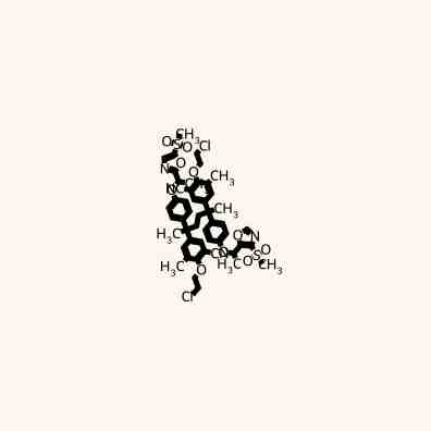 Cc1cc(C(C)(CCC(C)(c2ccc(OC(C)c3ocnc3S(C)(=O)=O)cc2)c2cc(C)c(OCCCl)c(C#N)c2)c2ccc(OC(C)c3ncc(S(C)(=O)=O)o3)cc2)cc(C#N)c1OCCCl